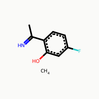 C.CC(=N)c1ccc(F)cc1O